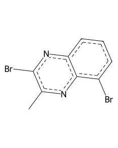 Cc1nc2c(Br)cccc2nc1Br